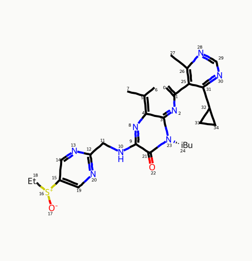 C=C(/N=C1\C(=C(C)C)N=C(NCc2ncc([S+]([O-])CC)cn2)C(=O)N1[C@@H](C)CC)c1c(C)ncnc1C1CC1